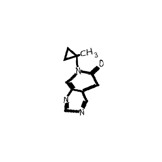 CC1(n2cc3ncncc3cc2=O)CC1